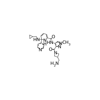 Cn1cc(NC(=O)C2=CC=CC(NCC3CC3)(c3ccncc3)N2)c(C(=O)N2CC(CN)C2)n1